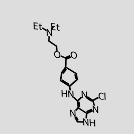 CCN(CC)CCOC(=O)c1ccc(Nc2nc(Cl)nc3[nH]cnc23)cc1